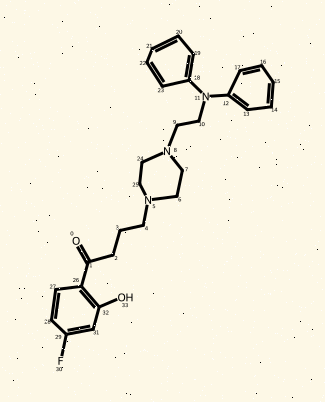 O=C(CCCN1CCN(CCN(c2ccccc2)c2ccccc2)CC1)c1ccc(F)cc1O